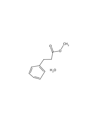 COC(=O)CCc1ccccc1.O